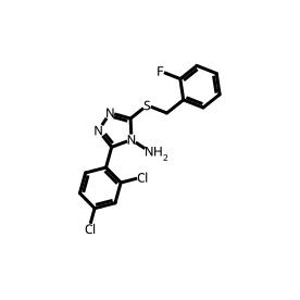 Nn1c(SCc2ccccc2F)nnc1-c1ccc(Cl)cc1Cl